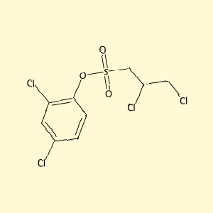 O=S(=O)(CC(Cl)CCl)Oc1ccc(Cl)cc1Cl